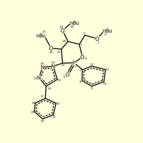 CCCCOCC1OP(=O)(c2ccccc2)C(n2cc(-c3ccccc3)nn2)C(OCCCC)C1OCCCC